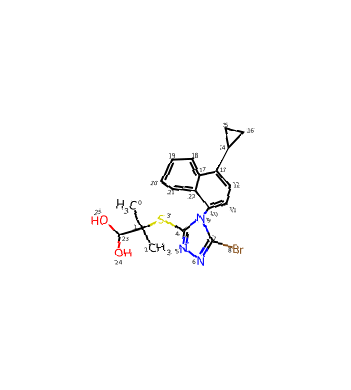 CC(C)(Sc1nnc(Br)n1-c1ccc(C2CC2)c2ccccc12)C(O)O